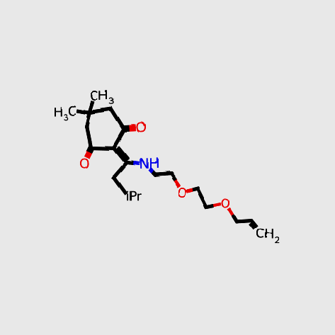 C=CCOCCOCCNC(CC(C)C)=C1C(=O)CC(C)(C)CC1=O